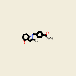 CCc1cc2c(n1Cc1ccc(C(=O)OC)cc1)CCCC2=O